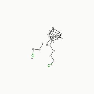 ClCCCC[C]12[CH]3[CH]4[CH]5[CH]1[Fe]45321678[CH]2[CH]1[CH]6[C]7(CCCCCl)[CH]28